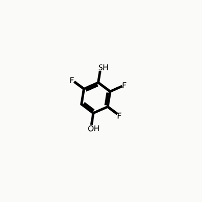 Oc1cc(F)c(S)c(F)c1F